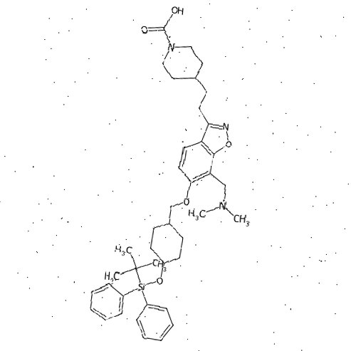 CN(C)Cc1c(OCC2CCC(O[Si](c3ccccc3)(c3ccccc3)C(C)(C)C)CC2)ccc2c(CCC3CCN(C(=O)O)CC3)noc12